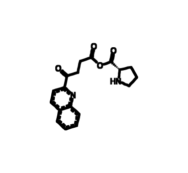 O=C(CCC(=O)c1ccc2ccccc2n1)OC(=O)[C@@H]1CCCN1